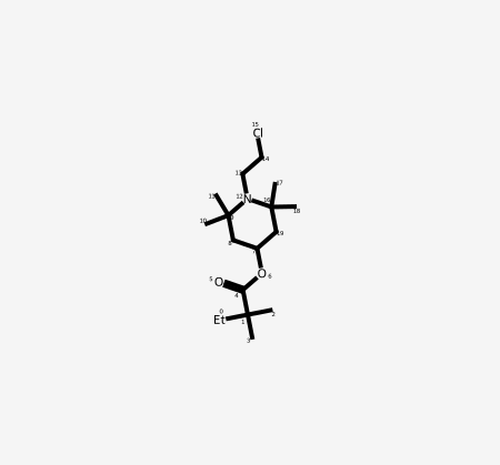 CCC(C)(C)C(=O)OC1CC(C)(C)N(CCCl)C(C)(C)C1